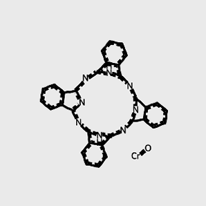 [O]=[Cr].c1ccc2c(c1)-c1nc-2nc2[nH]c(nc3nc(nc4[nH]c(n1)c1ccccc41)-c1ccccc1-3)c1ccccc21